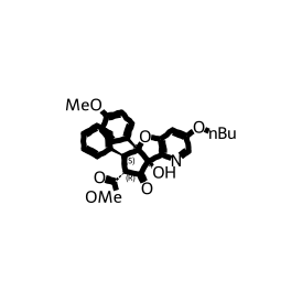 CCCCOc1cnc2c(c1)O[C@@]1(c3ccc(OC)cc3)[C@H](c3ccccc3)[C@@H](C(=O)OC)C(=O)[C@@]21O